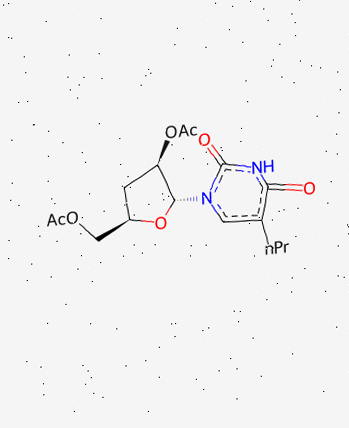 CCCc1cn([C@@H]2O[C@@H](COC(C)=O)C[C@H]2OC(C)=O)c(=O)[nH]c1=O